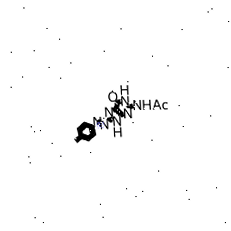 CC(=O)Nc1nc2[nH]c(/N=N/c3ccc(C)cc3)nc2c(=O)[nH]1